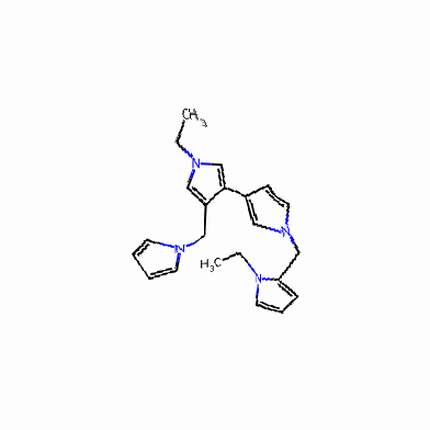 CCn1cc(Cn2cccc2)c(-c2ccn(Cc3cccn3CC)c2)c1